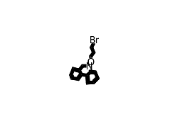 BrCCCCON1Cc2ccccc2-c2ccccc21